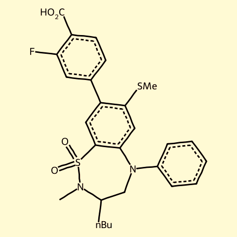 CCCCC1CN(c2ccccc2)c2cc(SC)c(-c3ccc(C(=O)O)c(F)c3)cc2S(=O)(=O)N1C